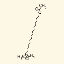 C=CC(=O)OCCCCCCCCCCCCCCCCCCC[Si](C)(C)Cl